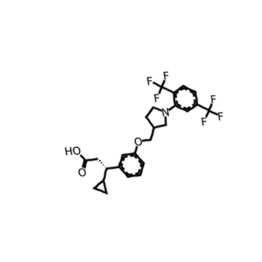 O=C(O)C[C@H](c1cccc(OCC2CCN(c3cc(C(F)(F)F)ccc3C(F)(F)F)C2)c1)C1CC1